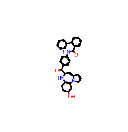 O=C(Nc1ccc(C(=O)C2C=C3C=CCN3C3=C(CCC(O)C3)N2)cc1)c1ccccc1-c1ccccc1